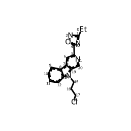 CCc1noc(-c2cc3c4ccccc4n(CCCCl)c3cn2)n1